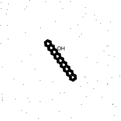 Oc1c2cc3ccccc3cc2cc2cc3cc4cc5cc6cc7ccccc7cc6cc5cc4cc3cc12